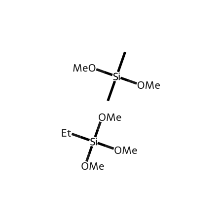 CC[Si](OC)(OC)OC.CO[Si](C)(C)OC